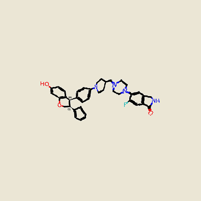 O=C1NCc2cc(N3CCN(CC4CCN(c5ccc([C@@H]6c7ccc(O)cc7OC[C@@H]6c6ccccc6)cc5)CC4)CC3)c(F)cc21